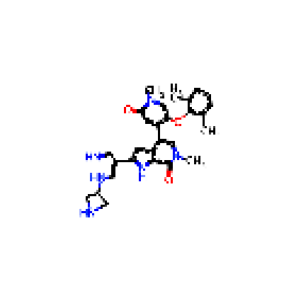 Cc1cccc(C)c1Oc1cn(C)c(=O)cc1-c1cn(C)c(=O)c2[nH]c(/C(C=N)=C/NC3CNC3)cc12